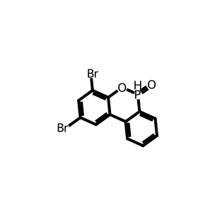 O=[PH]1Oc2c(Br)cc(Br)cc2-c2ccccc21